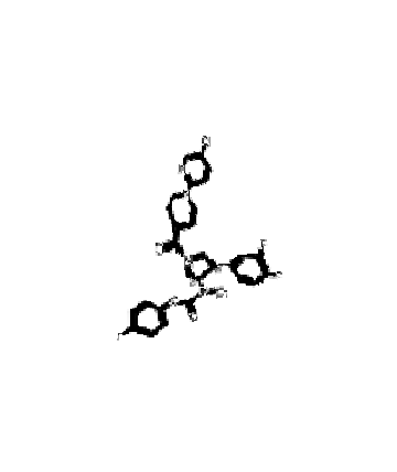 CCN(C(=O)Oc1ccc(F)cc1)[C@@H]1CN(C(=O)C2CCN(c3ccc(Cl)cn3)CC2)C[C@H]1c1ccc(F)c(F)c1